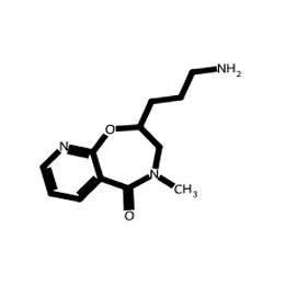 CN1CC(CCCN)Oc2ncccc2C1=O